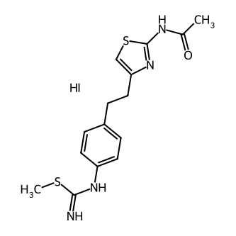 CSC(=N)Nc1ccc(CCc2csc(NC(C)=O)n2)cc1.I